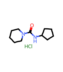 Cl.O=C(NC1CCCC1)N1CCCCC1